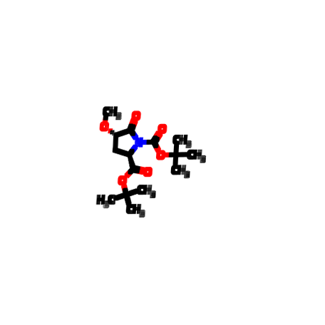 CO[C@H]1C[C@H](C(=O)OC(C)(C)C)N(C(=O)OC(C)(C)C)C1=O